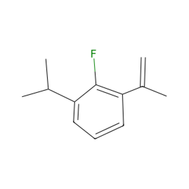 C=C(C)c1cccc(C(C)C)c1F